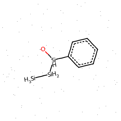 [O][SiH]([SiH2][SiH3])c1ccccc1